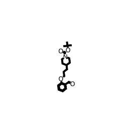 CC(C)(C)OC(=O)N1CCC(CCCOc2ccccc2C=O)CC1